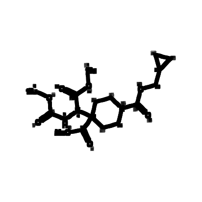 COC(=O)C1(N(NC(=O)OC(C)(C)C)C(=O)OC(C)(C)C)CCN(C(=O)OCC2CC2)CC1